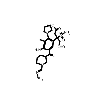 COC(=O)CC(CC=O)(c1cc(C(=O)C2CCCN(C=NN)C2)c(N)c(C)c1N1CCCC1)S(N)(=O)=O